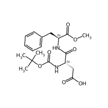 COC(=O)[C@H](Cc1ccccc1)NC(=O)[C@H](CC(=O)O)NC(=O)OC(C)(C)C